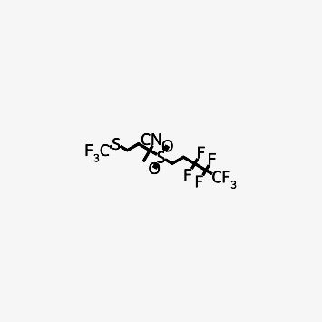 CC(C#N)(CCSC(F)(F)F)S(=O)(=O)CCC(F)(F)C(F)(F)C(F)(F)F